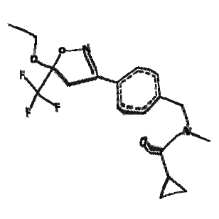 CCOC1(C(F)(F)F)CC(c2ccc(CN(C)C(=O)C3CC3)cc2)=NO1